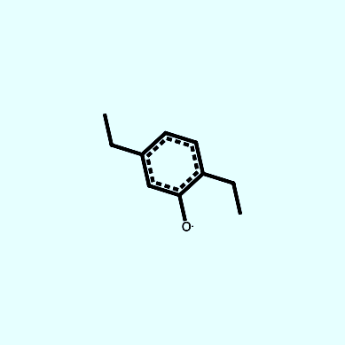 CCc1ccc(CC)c([O])c1